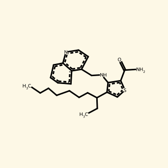 CCCCCCCC(CC)c1csc(C(N)=O)c1NCc1ccnc2ccccc12